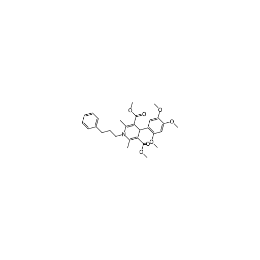 COC(=O)C1=C(C)N(CCCc2ccccc2)C(C)=C(C(=O)OC)C1c1cc(OC)c(OC)cc1OC